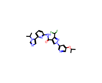 CC(C)Oc1cncc(-n2cc(C(=O)Nc3cccc(-c4cncn4C(C)C)n3)c(C(F)F)n2)c1